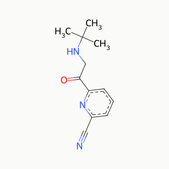 CC(C)(C)NCC(=O)c1cccc(C#N)n1